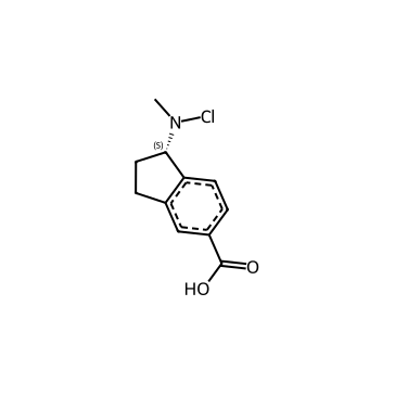 CN(Cl)[C@H]1CCc2cc(C(=O)O)ccc21